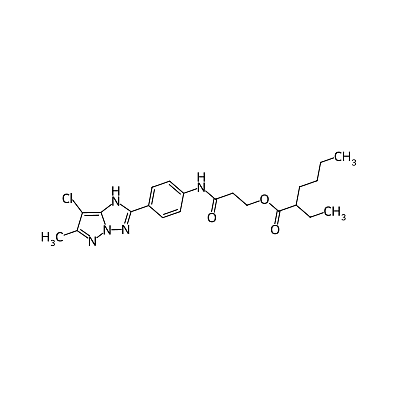 CCCCC(CC)C(=O)OCCC(=O)Nc1ccc(-c2nn3nc(C)c(Cl)c3[nH]2)cc1